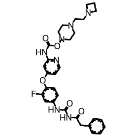 O=C(Cc1ccccc1)NC(=O)Nc1ccc(Oc2ccnc(NC(=O)ON3CCN(CCN4CCC4)CC3)c2)c(F)c1